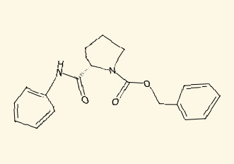 O=C(Nc1ccccc1)[C@@H]1CCCN1C(=O)OCc1ccccc1